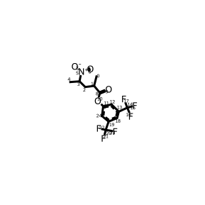 CC(CC(C)[N+](=O)[O-])C(=O)Oc1cc(C(F)(F)F)cc(C(F)(F)F)c1